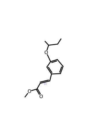 CCC(C)Oc1cccc(/C=C/C(=O)OC)c1